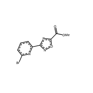 COC(=O)c1nc(-c2cccc(Br)n2)no1